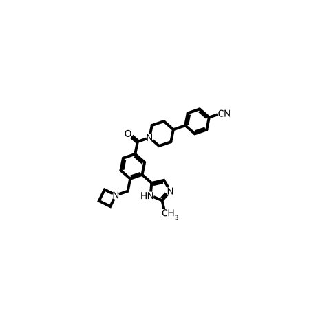 Cc1ncc(-c2cc(C(=O)N3CCC(c4ccc(C#N)cc4)CC3)ccc2CN2CCC2)[nH]1